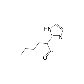 CCCCC([C]=O)c1ncc[nH]1